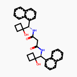 O=C(CC(=O)N[C@@H](c1cccc2ccccc12)C1(O)CCC1)N[C@@H](c1cccc2ccccc12)C1(O)CCC1